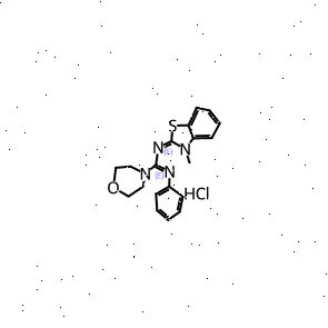 Cl.Cn1/c(=N\C(=N\c2ccccc2)N2CCOCC2)sc2ccccc21